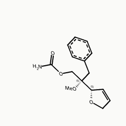 CO[C@](COC(N)=O)(Cc1ccccc1)[C@@H]1C=CCO1